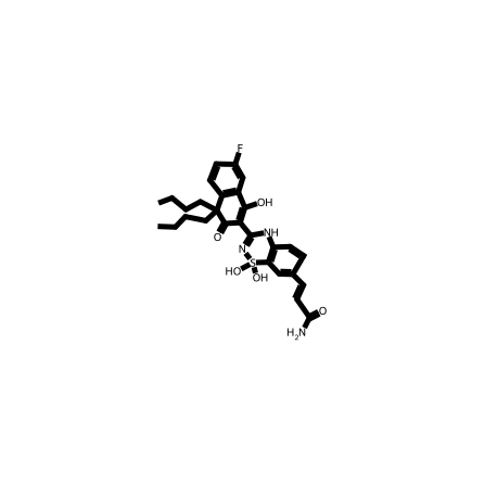 CCCCC1(CCCC)C(=O)C(C2=NS(O)(O)c3cc(C=CC(N)=O)ccc3N2)=C(O)c2cc(F)ccc21